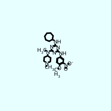 COc1ccc(Nc2nc(NC3CCCCCC3)nc(N(C)C3CCN(C)CC3)n2)cc1[N+](=O)[O-]